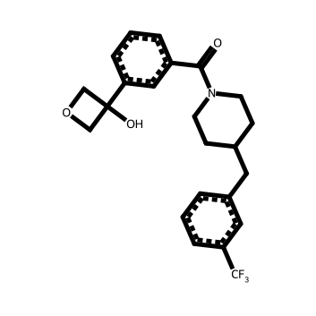 O=C(c1cccc(C2(O)COC2)c1)N1CCC(Cc2cccc(C(F)(F)F)c2)CC1